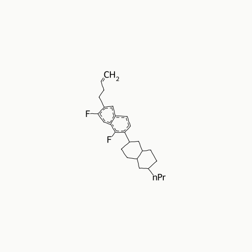 C=CCCc1cc2ccc(C3CCC4CC(CCC)CCC4C3)c(F)c2cc1F